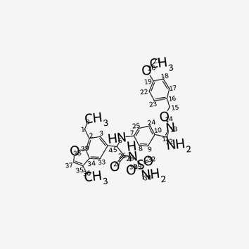 CCc1cc(C(Nc2ccc(/C(N)=N\OCc3ccc(OC)cc3)cc2)C(=O)NS(N)(=O)=O)cc2c(C)coc12